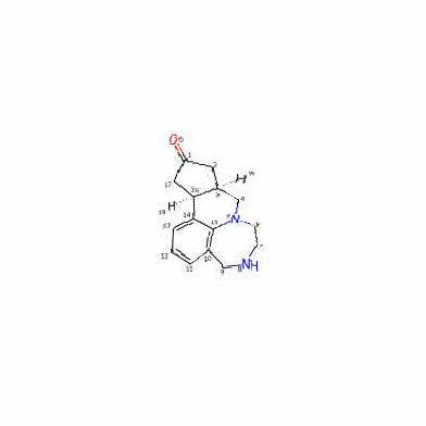 O=C1C[C@H]2CN3CCNCc4cccc(c43)[C@H]2C1